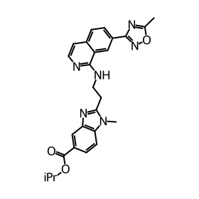 Cc1nc(-c2ccc3ccnc(NCCc4nc5cc(C(=O)OC(C)C)ccc5n4C)c3c2)no1